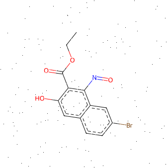 CCOC(=O)c1c(O)cc2ccc(Br)cc2c1N=O